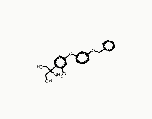 NC(CO)(CO)c1ccc(Oc2cccc(OCc3ccccc3)c2)cc1Cl